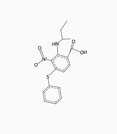 CCC(C)Nc1c(C(=O)O)ccc(Sc2ccccc2)c1[N+](=O)[O-]